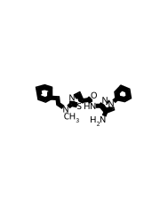 CN(CCc1ccccc1)c1ncc(C(=O)Nc2nn(-c3ccccc3)cc2N)s1